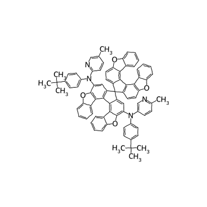 Cc1ccc(N(c2ccc(C(C)(C)C)cc2)c2cc3c(c4c2oc2ccccc24)-c2c(cc(N(c4ccc(C(C)(C)C)cc4)c4ccc(C)nc4)c4oc5ccccc5c24)C32c3ccc4oc5ccccc5c4c3-c3c2ccc2oc4ccccc4c32)nc1